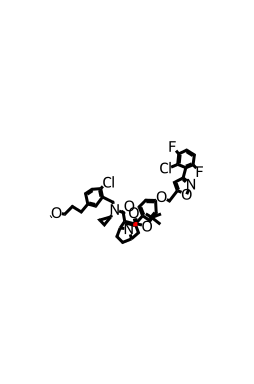 COCCCc1ccc(Cl)c(CN(C(=O)C2=C(c3ccc(OCc4cc(-c5c(F)ccc(F)c5Cl)no4)cc3)CC3CCC2N3C(=O)OC(C)(C)C)C2CC2)c1